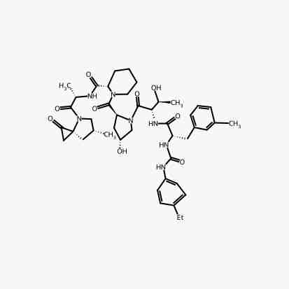 CCc1ccc(NC(=O)N[C@@H](Cc2cccc(C)c2)C(=O)N[C@H](C(=O)N2C[C@H](O)C[C@H]2C(=O)N2CCCC[C@H]2C(=O)N[C@@H](C)C(=O)N2C[C@H](C)C[C@@]23CC3=O)[C@H](C)O)cc1